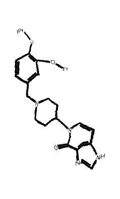 CCOc1cc(CN2CCC(n3ccc4[nH]cnc4c3=O)CC2)ccc1OC(C)C